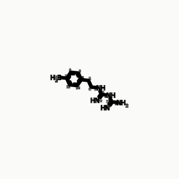 Bc1ccc(CCNC(=N)NC(=N)N)cc1